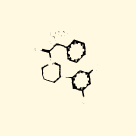 CO[C@@H](C(=O)N1CCC[C@H](c2cc(Cl)cc(Cl)c2)C1)c1ccccc1